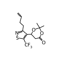 C=CCCc1nsc(C(F)(F)F)c1C1CC(=O)OC(C)(C)O1